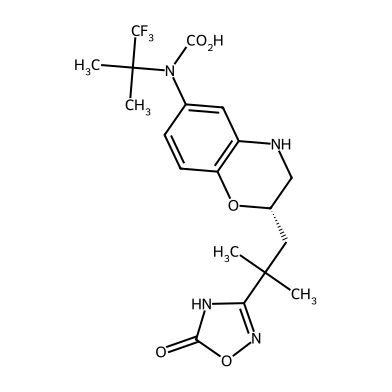 CC(C)(C[C@H]1CNc2cc(N(C(=O)O)C(C)(C)C(F)(F)F)ccc2O1)c1noc(=O)[nH]1